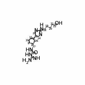 N=C(N)NC(=O)NCc1cccc(-c2cnc(NCCCCCO)nc2)c1